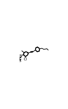 CCCCc1ccc(C#Cc2cc(C)c(N=C=S)c(Cl)c2)cc1